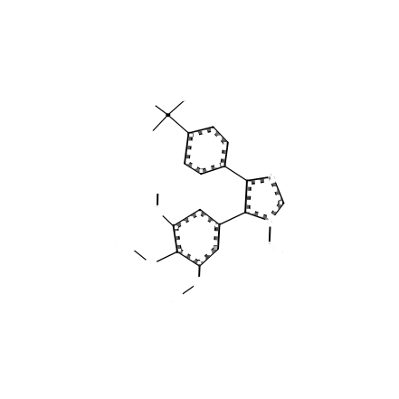 COc1cc(-c2c(-c3ccc(C(F)(F)F)cc3)ncn2C)cc(OC)c1OC